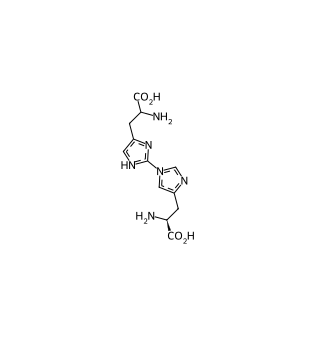 NC(Cc1c[nH]c(-n2cnc(C[C@H](N)C(=O)O)c2)n1)C(=O)O